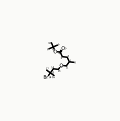 CC(CCC(=O)OC(C)(C)C)COCCC(C)(C)Br